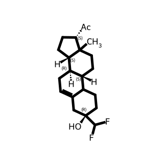 CC(=O)[C@H]1CC[C@H]2[C@@H]3CC=C4C[C@@](O)(C(F)F)CCC4[C@H]3CCC12C